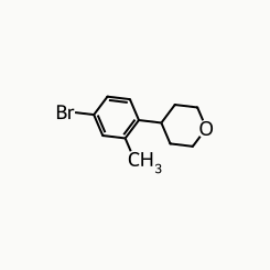 Cc1cc(Br)ccc1C1CCOCC1